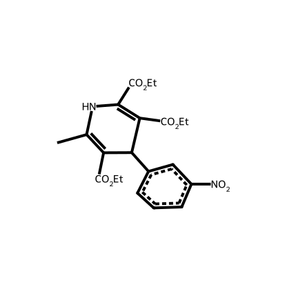 CCOC(=O)C1=C(C(=O)OCC)C(c2cccc([N+](=O)[O-])c2)C(C(=O)OCC)=C(C)N1